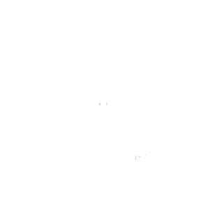 CC(C)CCCOCC1CCC1